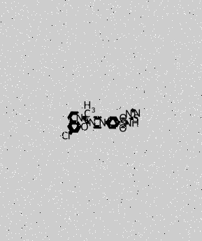 C[C@H](C(=O)N1CCN(c2ccc(S(=O)(=O)Nc3ncns3)cc2)CC1)N1CCCc2cc(Cl)ccc21